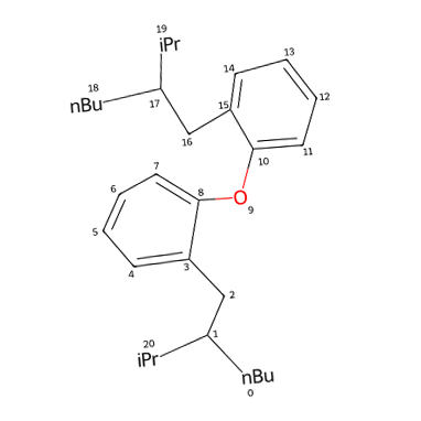 CCCCC(Cc1ccccc1Oc1ccccc1CC(CCCC)C(C)C)C(C)C